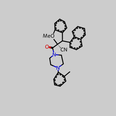 COc1ccccc1C(c1cccc2ccccc12)[C@@](C)(C#N)C(=O)N1CCN(c2ccccc2C)CC1